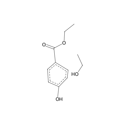 CCO.CCOC(=O)c1ccc(O)cc1